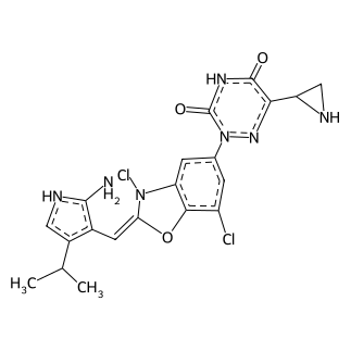 CC(C)c1c[nH]c(N)c1/C=C1/Oc2c(Cl)cc(-n3nc(C4CN4)c(=O)[nH]c3=O)cc2N1Cl